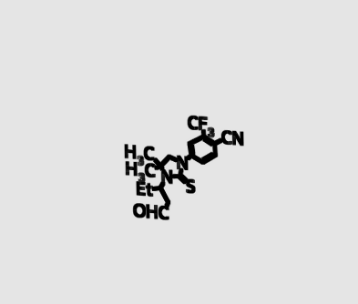 CCC(CC=O)N1C(=S)N(c2ccc(C#N)c(C(F)(F)F)c2)CC1(C)C